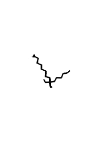 CCCCCCC(CC)(CCCCCCCC(=O)O)C(=O)O